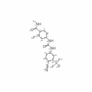 CNC(=O)c1ccc(NC(=O)Nc2ccc(C#N)c(C(F)(F)F)c2)cc1F